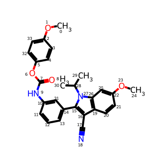 COc1ccc(OC(=O)Nc2cccc(-c3c(C#N)c4ccc(OC)cc4n3C(C)C)c2)cc1